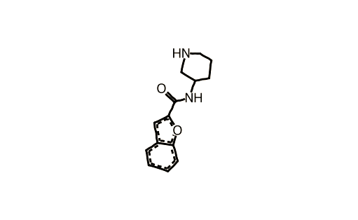 O=C(NC1CCCNC1)c1cc2ccccc2o1